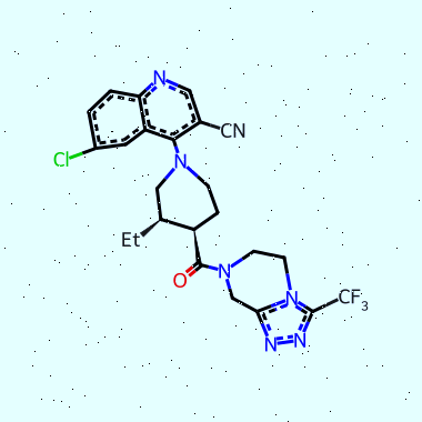 CC[C@H]1CN(c2c(C#N)cnc3ccc(Cl)cc23)CC[C@H]1C(=O)N1CCn2c(nnc2C(F)(F)F)C1